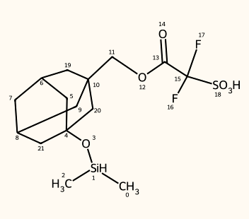 C[SiH](C)OC12CC3CC(CC(COC(=O)C(F)(F)S(=O)(=O)O)(C3)C1)C2